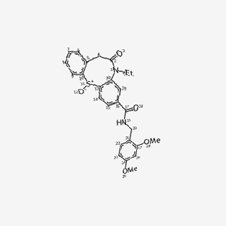 CCN1C(=O)Cc2ccccc2[S+]([O-])c2ccc(C(=O)NCc3ccc(OC)cc3OC)cc21